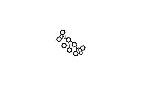 c1ccc(C2(c3ccccc3)c3cc(N4c5ccccc5Oc5ccccc54)ccc3-c3ccc(-n4c5ccccc5c5ccccc54)cc32)cc1